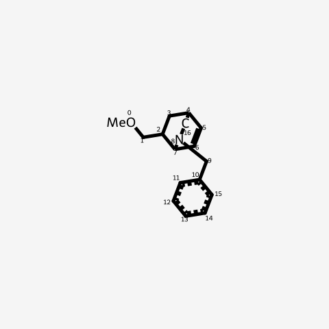 COCC1CC2C=CC1N(Cc1ccccc1)C2